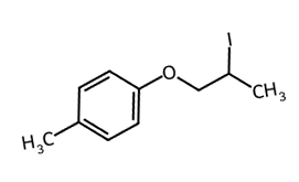 Cc1ccc(OCC(C)I)cc1